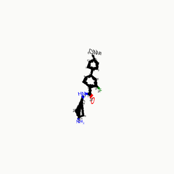 COc1ccc(-c2ccc(C(=O)NC34CC(N)(C3)C4)c(F)c2)cc1